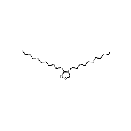 CCCCCCCCCCCC1=C(CCCCCCCCCCC)[N]C=C1